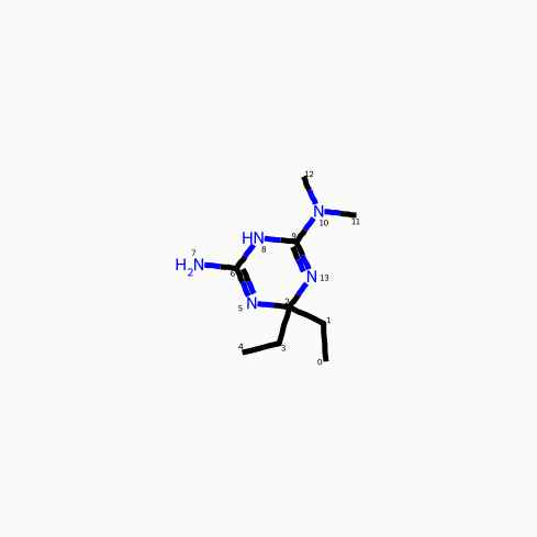 CCC1(CC)N=C(N)NC(N(C)C)=N1